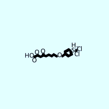 O=C(CCCCCOCc1ccc([SiH2]C(Cl)Cl)cc1)CC(=O)C(=O)O